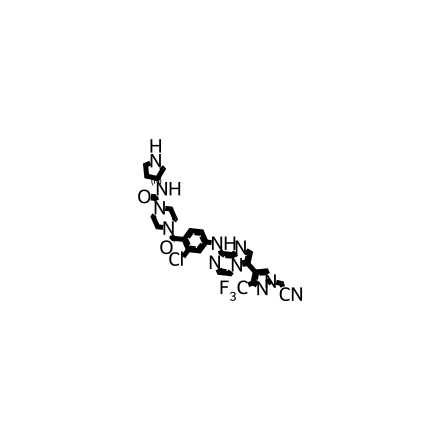 N#CCn1cc(-c2cnc3c(Nc4ccc(C(=O)N5CCN(C(=O)N[C@@H]6CCNC6)CC5)c(Cl)c4)nccn23)c(C(F)(F)F)n1